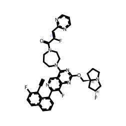 C#Cc1c(F)ccc2cccc(-c3ncc4c(N5CCCN(C(=O)/C(F)=C/c6ncccn6)CC5)nc(OC[C@@]56CCCN5C[C@H](F)C6)nc4c3F)c12